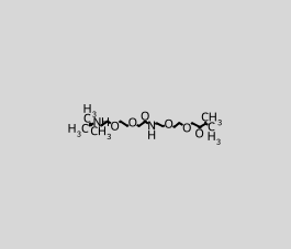 CC(C)C(=O)COCCOCCNC(=O)COCCOCCNC(C)(C)C